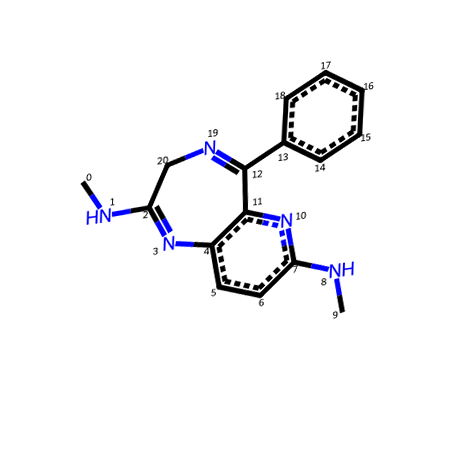 CNC1=Nc2ccc(NC)nc2C(c2ccccc2)=NC1